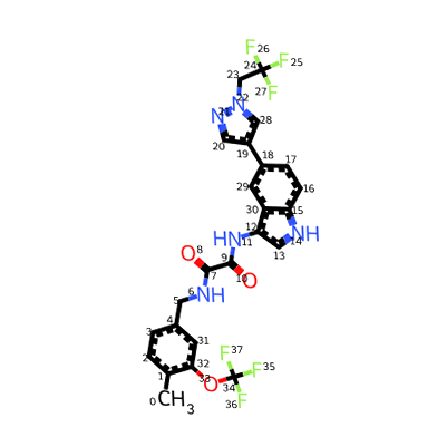 Cc1ccc(CNC(=O)C(=O)Nc2c[nH]c3ccc(-c4cnn(CC(F)(F)F)c4)cc23)cc1OC(F)(F)F